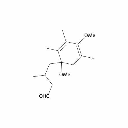 COC1=C(C)CC(CC(C)CC=O)(OC)C(C)=C1C